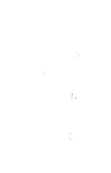 CC/C=N/C1OCCCO1